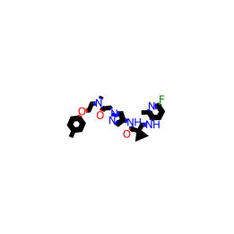 Cc1ccc(OCCN(C)C(=O)Cn2cc(NC(=O)C3(CNc4ccc(F)nc4C)CC3)cn2)cc1